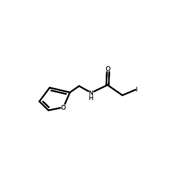 O=C(CI)NCc1ccco1